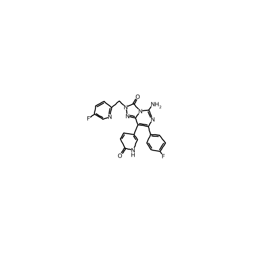 Nc1nc(-c2ccc(F)cc2)c(-c2ccc(=O)[nH]c2)c2nn(Cc3ccc(F)cn3)c(=O)n12